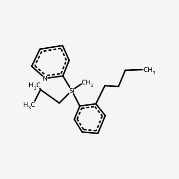 CCCCc1ccccc1[Si](C)(CC(C)C)c1ccccn1